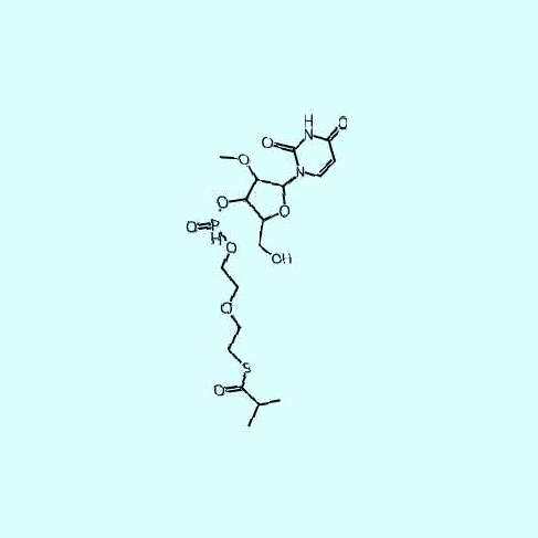 COC1C(O[PH](=O)OCCOCCSC(=O)C(C)C)C(CO)OC1n1ccc(=O)[nH]c1=O